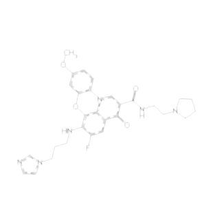 COc1ccc2c(c1)Oc1c(NCCCn3ccnc3)c(F)cc3c(=O)c(C(=O)NCCN4CCCC4)cn-2c13